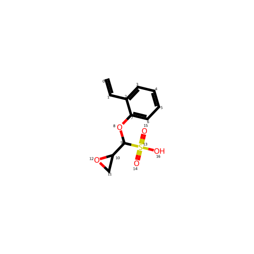 C=Cc1ccccc1OC(C1CO1)S(=O)(=O)O